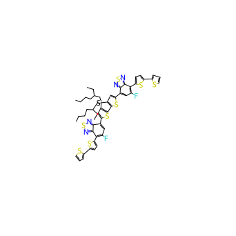 CCCCC(CC)C[Si]1(CC(CC)CCCC)c2cc(-c3cc(F)c(-c4ccc(-c5cccs5)s4)c4nsnc34)sc2-c2sc(-c3cc(F)c(-c4ccc(-c5cccs5)s4)c4nsnc34)cc21